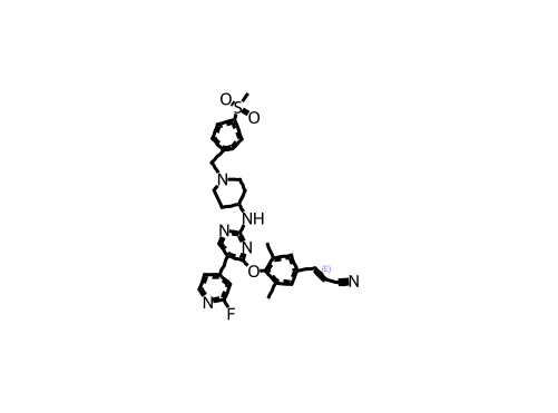 Cc1cc(/C=C/C#N)cc(C)c1Oc1nc(NC2CCN(Cc3ccc(S(C)(=O)=O)cc3)CC2)ncc1-c1ccnc(F)c1